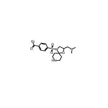 CCC(=O)c1ccc(S(=O)(=O)N2CC(CN(C)C)OC23CCNCC3)cc1